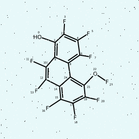 Oc1c(F)c(F)c(F)c2c1c(F)c(F)c1c(F)c(F)c(F)c(OF)c12